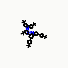 CC(C)(C)c1ccc(-c2ccc3[nH]c4c(-c5cc(-n6c7ccc(C(C)(C)C)cc7c7cc(C(C)(C)C)ccc76)cc(C(C)(C)C)c5)cc(-c5ccc(C(C)(C)C)cc5)cc4c3c2)cc1